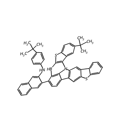 CC(C)(C)c1ccc(Nc2cc3ccccc3cc2-c2ccc3c4cc5sc6ccccc6c5cc4n4c3c2Bc2sc3ccc(C(C)(C)C)cc3c2-4)cc1